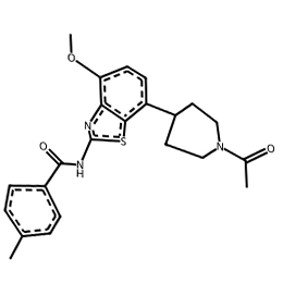 COc1ccc(C2CCN(C(C)=O)CC2)c2sc(NC(=O)c3ccc(C)cc3)nc12